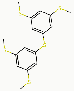 CSc1cc(SC)cc(Sc2cc(SC)cc(SC)c2)c1